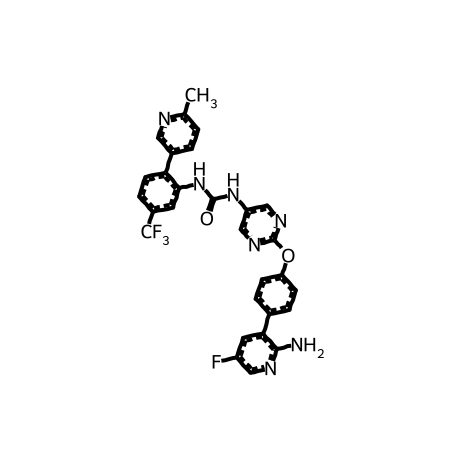 Cc1ccc(-c2ccc(C(F)(F)F)cc2NC(=O)Nc2cnc(Oc3ccc(-c4cc(F)cnc4N)cc3)nc2)cn1